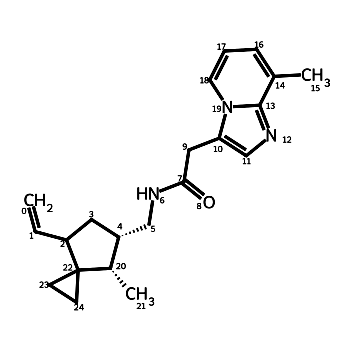 C=CC1C[C@H](CNC(=O)Cc2cnc3c(C)cccn23)[C@H](C)C12CC2